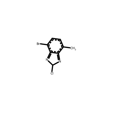 Cc1ccc(Br)c2c1=NC(Cl)N=2